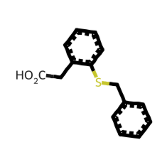 O=C(O)Cc1ccccc1SCc1ccccc1